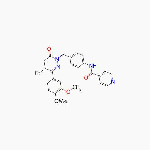 CCC1CC(=O)N(Cc2ccc(NC(=O)c3ccncc3)cc2)N=C1c1ccc(OC)c(OC(F)(F)F)c1